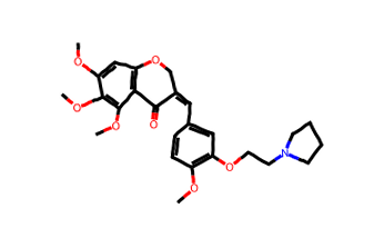 COc1ccc(C=C2COc3cc(OC)c(OC)c(OC)c3C2=O)cc1OCCN1CCCC1